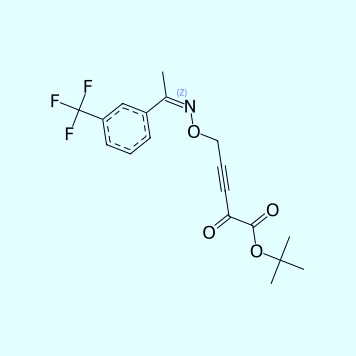 C/C(=N/OCC#CC(=O)C(=O)OC(C)(C)C)c1cccc(C(F)(F)F)c1